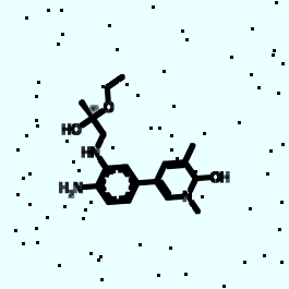 CCO[C@@](C)(O)CNc1cc(C2=CN(C)C(O)C(C)=C2)ccc1N